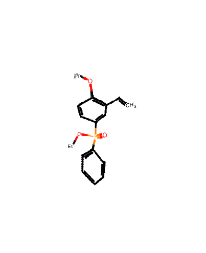 C=Cc1cc([P@@](=O)(OCC)c2ccccc2)ccc1OC(C)C